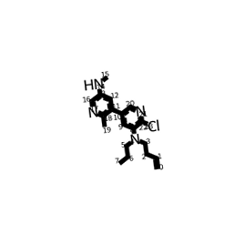 C=CCCN(CCC)c1cc(-c2cc(NC)cnc2C)cnc1Cl